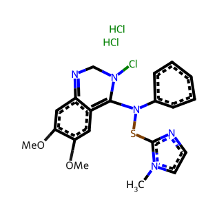 COc1cc2c(cc1OC)=C(N(Sc1nccn1C)c1ccccc1)N(Cl)CN=2.Cl.Cl